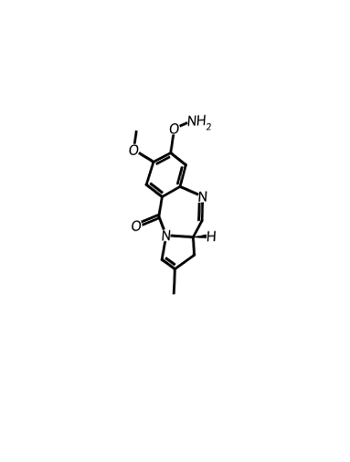 COc1cc2c(cc1ON)N=C[C@@H]1CC(C)=CN1C2=O